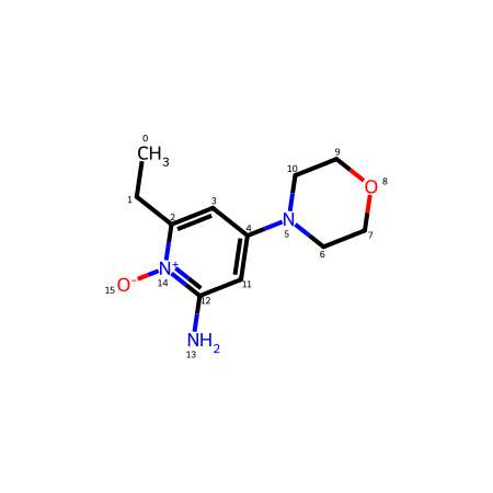 CCc1cc(N2CCOCC2)cc(N)[n+]1[O-]